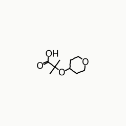 CC(C)(OC1CCOCC1)C(=O)O